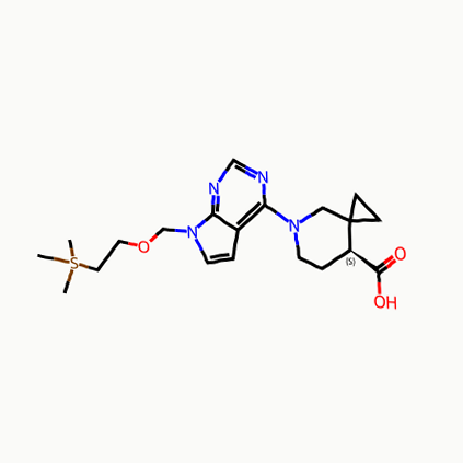 CS(C)(C)CCOCn1ccc2c(N3CC[C@H](C(=O)O)C4(CC4)C3)ncnc21